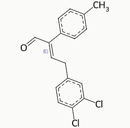 Cc1ccc(/C(C=O)=C\Cc2ccc(Cl)c(Cl)c2)cc1